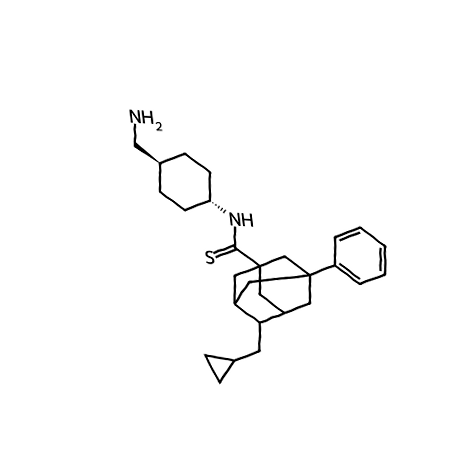 NC[C@H]1CC[C@H](NC(=S)C23CC4CC(c5ccccc5)(CC(C2)C4CC2CC2)C3)CC1